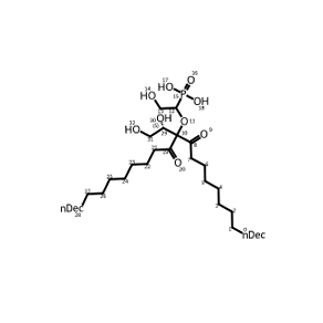 CCCCCCCCCCCCCCCCCC(=O)C(OC(CO)P(=O)(O)O)(C(=O)CCCCCCCCCCCCCCCCC)[C@@H](O)CO